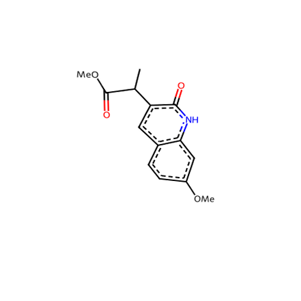 COC(=O)C(C)c1cc2ccc(OC)cc2[nH]c1=O